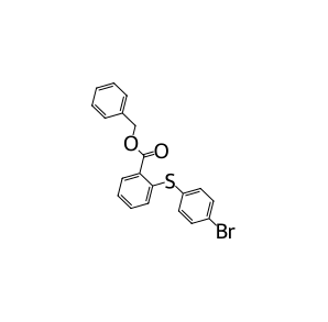 O=C(OCc1ccccc1)c1ccccc1Sc1ccc(Br)cc1